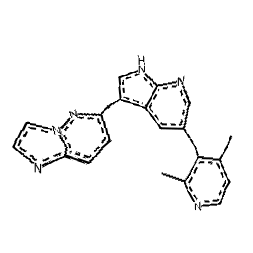 Cc1ccnc(C)c1-c1cnc2[nH]cc(-c3ccc4nccn4n3)c2c1